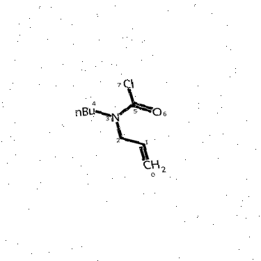 C=CCN(CCCC)C(=O)Cl